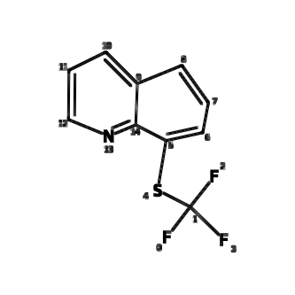 FC(F)(F)Sc1cccc2cccnc12